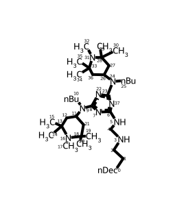 CCCCCCCCCCCCNCNc1nc(N(CCCC)C2CC(C)(C)N(C)C(C)(C)C2)nc(N(CCCC)C2CC(C)(C)N(C)C(C)(C)C2)n1